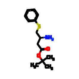 CC(C)(C)OC(=O)CC(N)CSc1ccccc1